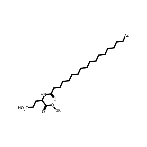 CC(=O)CCCCCCCCCCCCCCCCC(=O)NC(CCC(=O)O)C(=O)OC(C)(C)C